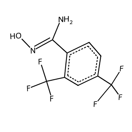 NC(=NO)c1ccc(C(F)(F)F)cc1C(F)(F)F